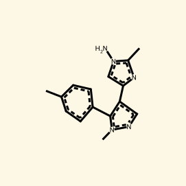 Cc1ccc(-c2c(-c3cn(N)c(C)n3)cnn2C)cc1